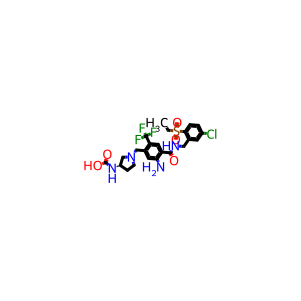 CCS(=O)(=O)c1ccc(Cl)cc1CNC(=O)c1cc(C(F)(F)F)c(CN2CC[C@H](NC(=O)O)C2)cc1N